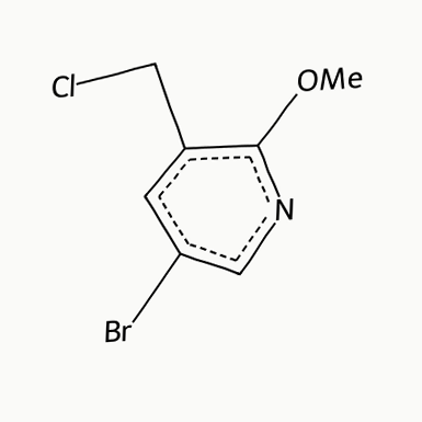 COc1ncc(Br)cc1CCl